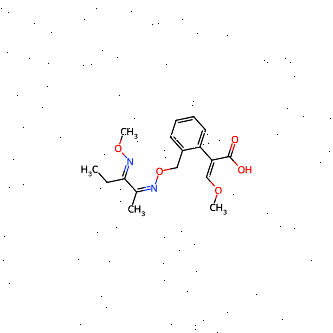 CCC(=NOC)C(C)=NOCc1ccccc1C(=COC)C(=O)O